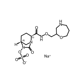 O=C(NOCC1CNCCCO1)[C@@H]1CC[C@@H]2CN1C(=O)N2OS(=O)(=O)[O-].[Na+]